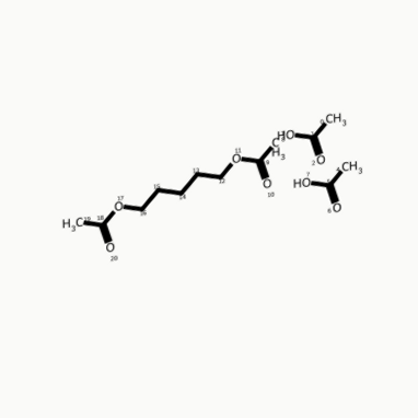 CC(=O)O.CC(=O)O.CC(=O)OCCCCCOC(C)=O